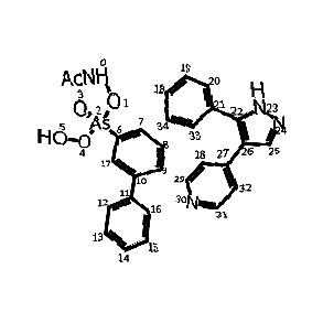 CC(=O)NO[As](=O)(OO)c1cccc(-c2ccccc2)c1.c1ccc(-c2[nH]ncc2-c2ccncc2)cc1